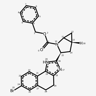 O=C(OCc1ccccc1)N1C2C[C@@H]2C[C@H]1c1nc2c([nH]1)-c1ccc(Br)cc1CC2